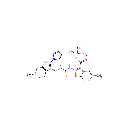 CC1CCc2sc(NC(=O)NCc3c(-n4cccc4)sc4c3CCN(C)C4)c(C(=O)OC(C)(C)C)c2C1